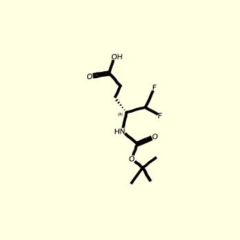 CC(C)(C)OC(=O)N[C@H](CCC(=O)O)C(F)F